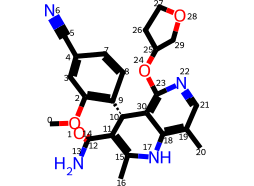 COc1cc(C#N)ccc1[C@H]1C(C(N)=O)=C(C)Nc2c(C)cnc(OC3CCOC3)c21